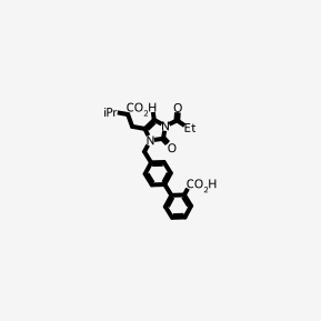 CCC(=O)n1c(C(=O)O)c(CCC(C)C)n(Cc2ccc(-c3ccccc3C(=O)O)cc2)c1=O